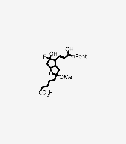 CCCCCC(O)C=CC1C2CC(CCCCC(=O)O)(OC)OC2CC1(O)F